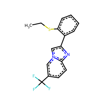 CCSc1ccccc1-c1cn2cc(C(F)(F)F)ccc2n1